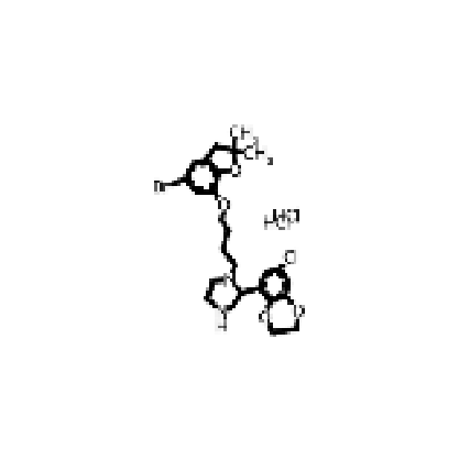 CC1(C)Cc2cc(Br)cc(OCCCCN3CCNCC3c3cc(Cl)cc4c3OCCO4)c2O1.Cl.Cl